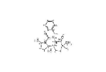 CC1(I)CC[C@@]2(O)C3CCC(O)N3C(=O)[C@H](Cc3ccccc3)N2C1=O